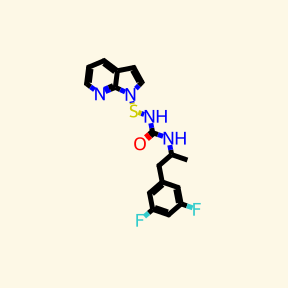 CC(Cc1cc(F)cc(F)c1)NC(=O)NSn1ccc2cccnc21